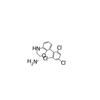 NC[C@@H]1CNc2cccc(-c3c(Cl)cc(Cl)cc3Cl)c2O1